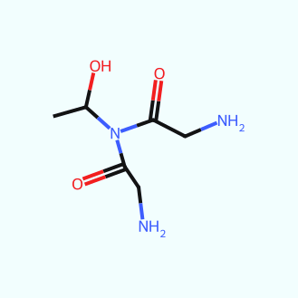 CC(O)N(C(=O)CN)C(=O)CN